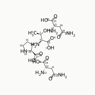 C[C@@H](O)[C@H](N)C(=O)O.NC(=O)C[C@H](N)C(=O)O.NC(=O)C[C@H](N)C(=O)O.O=C(O)[C@@H]1CCCN1